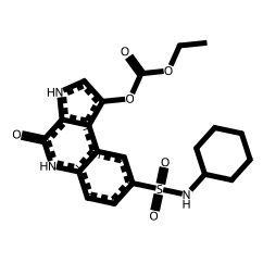 CCOC(=O)Oc1c[nH]c2c(=O)[nH]c3ccc(S(=O)(=O)NC4CCCCC4)cc3c12